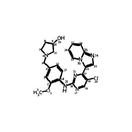 COc1cc(CN2CC[C@@H](O)C2)ccc1Nc1ncc(Cl)c(-c2cnc3ccccn23)n1